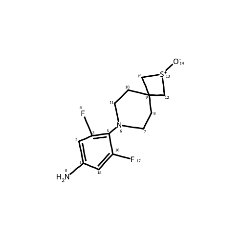 Nc1cc(F)c(N2CCC3(CC2)C[S+]([O-])C3)c(F)c1